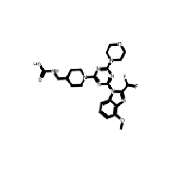 COc1cccc2c1nc(C(F)F)n2-c1nc(N2CCOCC2)nc(N2CCC(CNC(=O)O)CC2)n1